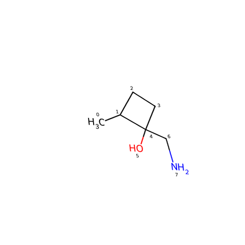 CC1CCC1(O)CN